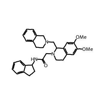 COc1cc2c(cc1OC)C(CN1CCc3ccccc3C1)N(CC(=O)NC1CCc3ccccc31)CC2